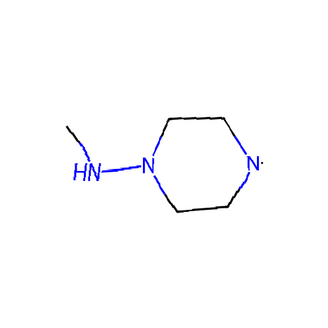 CNN1CC[N]CC1